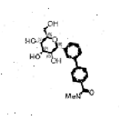 CNC(=O)c1ccc(-c2cccc([C@H]3O[C@H](CO)[C@@H](O)[C@H](O)[C@@H]3O)c2)cc1